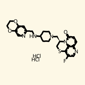 Cl.Cl.O=c1ccc2ncc(F)c3c2n1[C@H](CN1CCC(NCc2cc4c(cn2)OCCO4)CC1)CS3